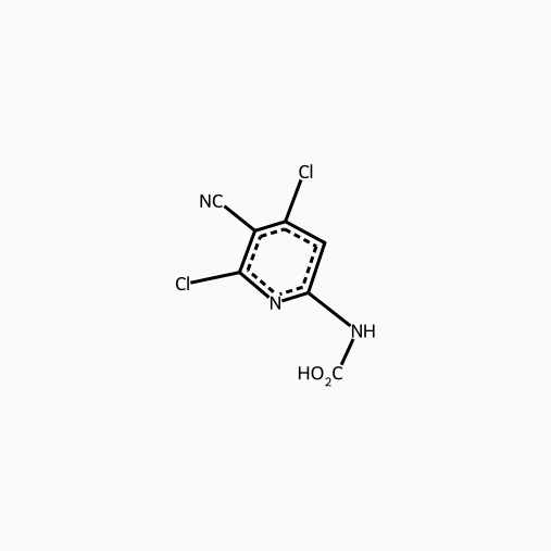 N#Cc1c(Cl)cc(NC(=O)O)nc1Cl